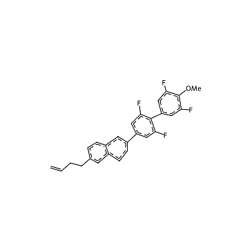 C=CCCc1ccc2cc(-c3cc(F)c(-c4cc(F)c(OC)c(F)c4)c(F)c3)ccc2c1